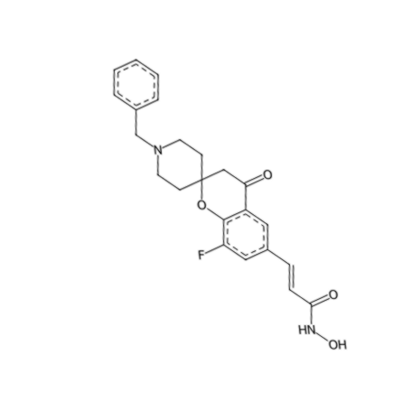 O=C(C=Cc1cc(F)c2c(c1)C(=O)CC1(CCN(Cc3ccccc3)CC1)O2)NO